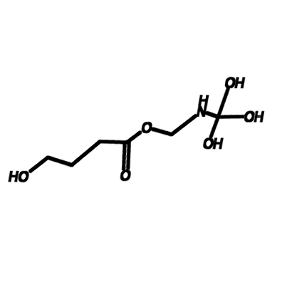 O=C(CCCO)OCNC(O)(O)O